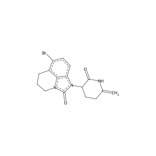 C=C1CCC(n2c(=O)n3c4c(c(Br)ccc42)CCC3)C(=O)N1